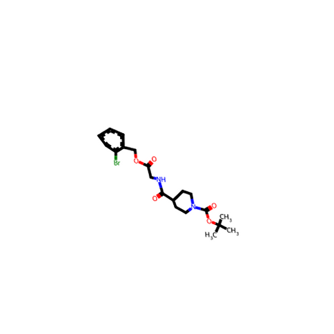 CC(C)(C)OC(=O)N1CCC(C(=O)NCC(=O)OCc2ccccc2Br)CC1